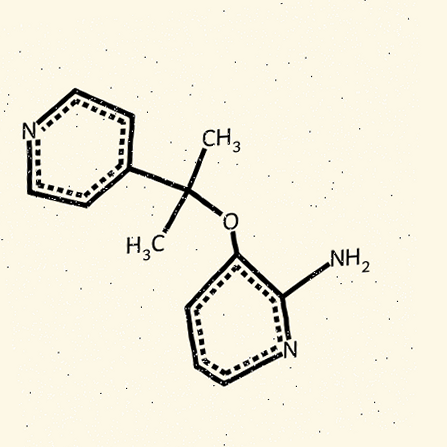 CC(C)(Oc1cccnc1N)c1ccncc1